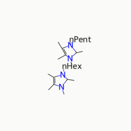 CCCCCCN1C(C)=C(C)N(C)C1C.CCCCCN1C(C)=C(C)N(C)C1C